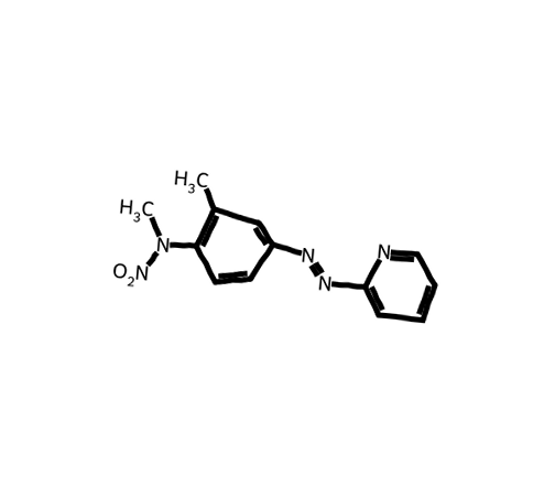 Cc1cc(N=Nc2ccccn2)ccc1N(C)[N+](=O)[O-]